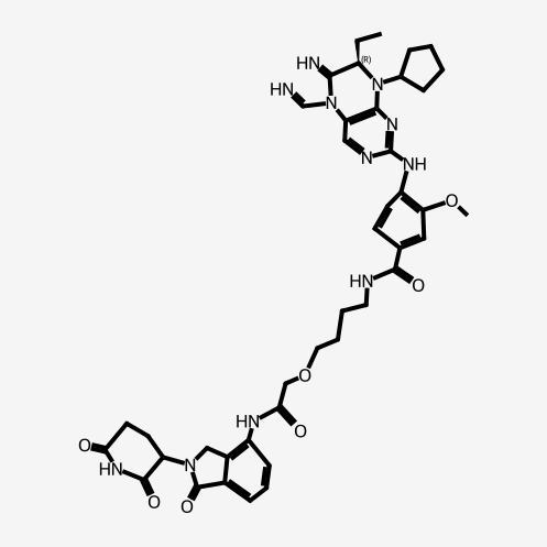 CC[C@@H]1C(=N)N(C=N)c2cnc(Nc3ccc(C(=O)NCCCCOCC(=O)Nc4cccc5c4CN(C4CCC(=O)NC4=O)C5=O)cc3OC)nc2N1C1CCCC1